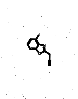 C#CCc1nc2c(I)cccc2o1